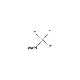 [CH2]NC(F)(F)F